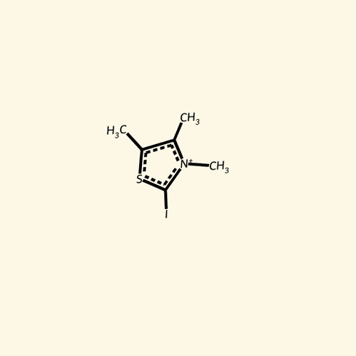 Cc1sc(I)[n+](C)c1C